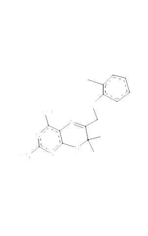 Cc1ccccc1OCC1=Nc2c(O)nc(N)nc2NC1(C)C